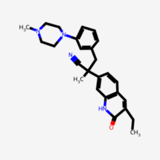 CCc1cc2ccc(C(C)(C#N)Cc3cccc(N4CCN(C)CC4)c3)cc2[nH]c1=O